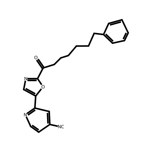 [C-]#[N+]c1ccnc(-c2cnc(C(=O)CCCCCCc3ccccc3)o2)c1